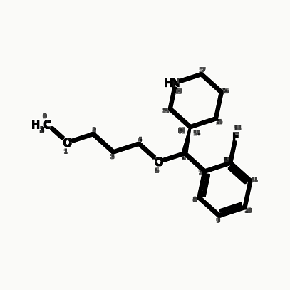 COCCCOC(c1ccccc1F)[C@@H]1CCCNC1